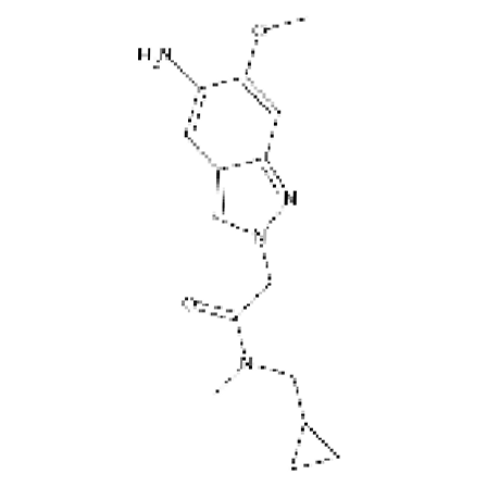 COc1cc2nn(CC(=O)N(C)CC3CC3)cc2cc1N